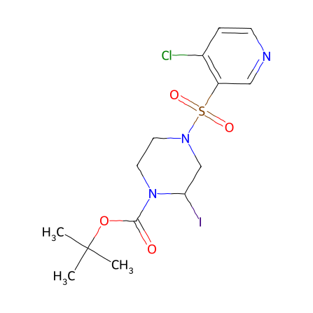 CC(C)(C)OC(=O)N1CCN(S(=O)(=O)c2cnccc2Cl)CC1I